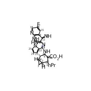 CCC[C@H]1[C@@H]2C[C@@H]2C[C@H](N/C(=N/C(=N)C(=N)c2cc(F)cnc2N)c2ccc[nH]2)[C@H]1C(=O)O